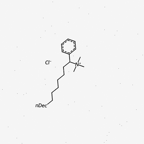 CCCCCCCCCCCCCCCCC(c1ccccc1)[N+](C)(C)C.[Cl-]